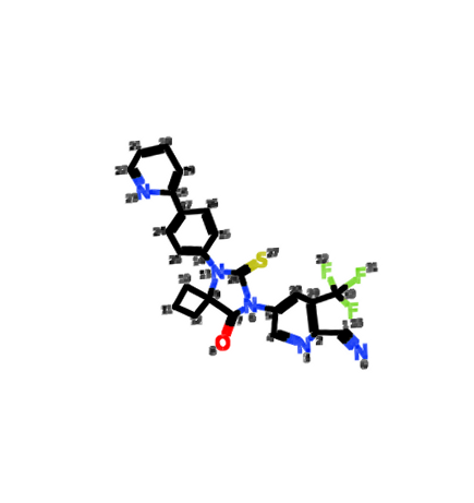 N#Cc1ncc(N2C(=O)C3(CCC3)N(c3ccc(-c4ccccn4)cc3)C2=S)cc1C(F)(F)F